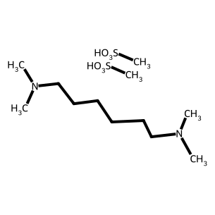 CN(C)CCCCCCN(C)C.CS(=O)(=O)O.CS(=O)(=O)O